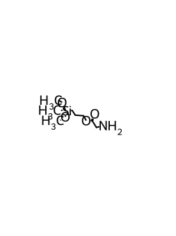 CO[Si](C)(CCCOC(=O)CN)OC